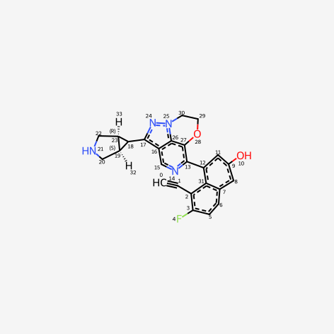 C#Cc1c(F)ccc2cc(O)cc(-c3ncc4c(C5[C@H]6CNC[C@@H]56)nn5c4c3OCC5)c12